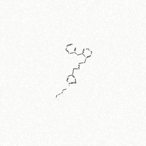 OCCCOc1ccc(CC=CCc2ccccc2Cc2ccccc2)cc1